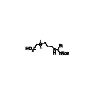 CCCCCCCCCC(CC)NCCC[N+](C)(C)CC(=O)O